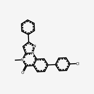 Cn1c(=O)c2ccc(-c3ccc(Cl)cc3)cc2n2nc(-c3ccccc3)cc12